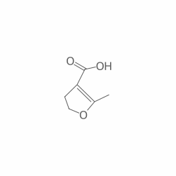 CC1=C(C(=O)O)CCO1